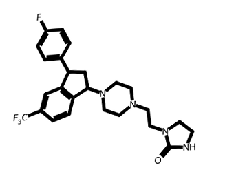 O=C1NCCN1CCN1CCN(C2CC(c3ccc(F)cc3)c3cc(C(F)(F)F)ccc32)CC1